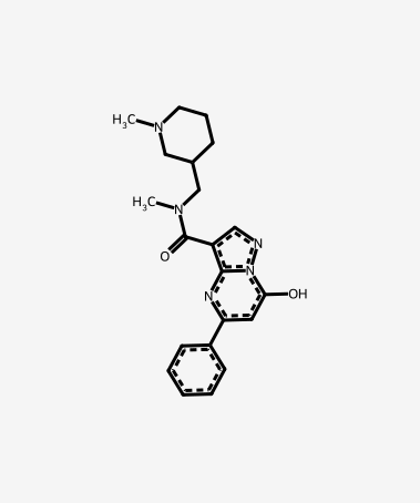 CN1CCCC(CN(C)C(=O)c2cnn3c(O)cc(-c4ccccc4)nc23)C1